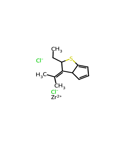 CCC1SC2=CC=CC2C1=C(C)C.[Cl-].[Cl-].[Zr+2]